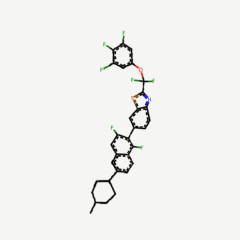 CC1CCC(c2ccc3c(F)c(-c4ccc5nc(C(F)(F)Oc6cc(F)c(F)c(F)c6)sc5c4)c(F)cc3c2)CC1